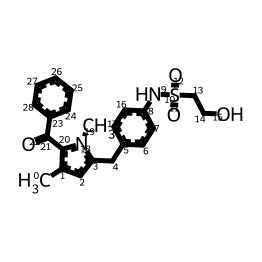 Cc1cc(Cc2ccc(NS(=O)(=O)CCO)cc2)n(C)c1C(=O)c1ccccc1